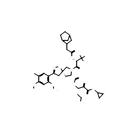 CCC[C@H](NC(=O)[C@@H]1C[C@]2(CC(c3cc(Cl)c(OC)cc3OC)=NO2)CN1C(=O)[C@@H](NC(=O)CC1CC2CCC1C2)C(C)(C)C)C(=O)C(=O)NC1CC1